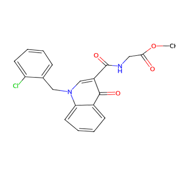 COC(=O)CNC(=O)c1cn(Cc2ccccc2Cl)c2ccccc2c1=O